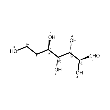 O=C[C@@H](O)[C@@H](O)[C@H](O)[C@H](O)CCO